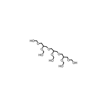 OCOCC(COCC(COCC(COCO)OCO)OCO)OCO